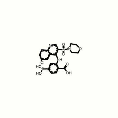 O=C(O)c1ccc(B(O)O)cc1Nc1c(S(=O)(=O)N2CCOCC2)cnc2ccc(Cl)cc12